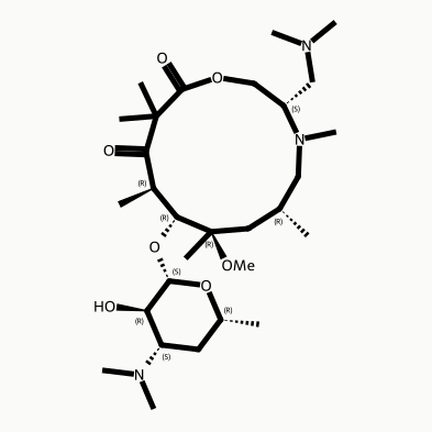 CO[C@]1(C)C[C@@H](C)CN(C)[C@@H](CN(C)C)COC(=O)C(C)(C)C(=O)[C@H](C)[C@H]1O[C@@H]1O[C@H](C)C[C@H](N(C)C)[C@H]1O